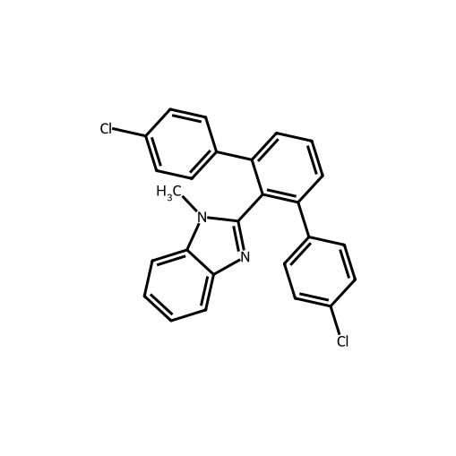 Cn1c(-c2c(-c3ccc(Cl)cc3)cccc2-c2ccc(Cl)cc2)nc2ccccc21